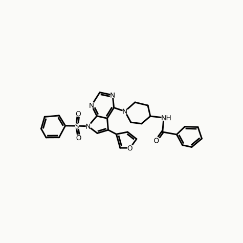 O=C(NC1CCN(c2ncnc3c2c(-c2ccoc2)cn3S(=O)(=O)c2ccccc2)CC1)c1ccccc1